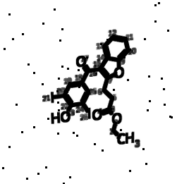 CCOC(=O)CCc1oc2ccccc2c1C(=O)c1cc(I)c(O)c(I)c1